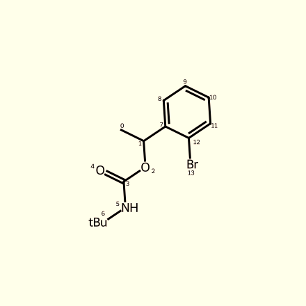 CC(OC(=O)NC(C)(C)C)c1ccccc1Br